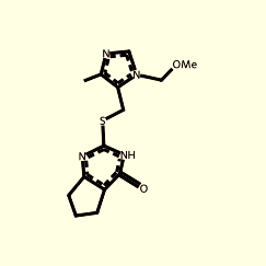 COCn1cnc(C)c1CSc1nc2c(c(=O)[nH]1)CCC2